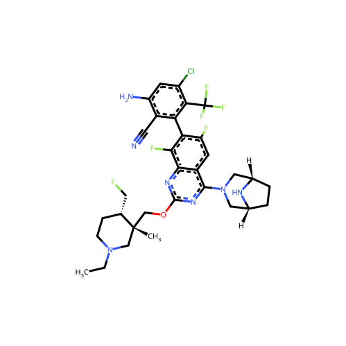 CCN1CC[C@H](CF)[C@](C)(COc2nc(N3C[C@H]4CC[C@@H](C3)N4)c3cc(F)c(-c4c(C#N)c(N)cc(Cl)c4C(F)(F)F)c(F)c3n2)C1